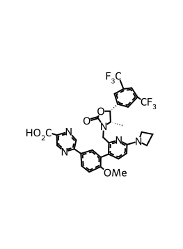 COc1ccc(-c2cnc(C(=O)O)cn2)cc1-c1ccc(N2CCC2)nc1CN1C(=O)O[C@H](c2cc(C(F)(F)F)cc(C(F)(F)F)c2)[C@@H]1C